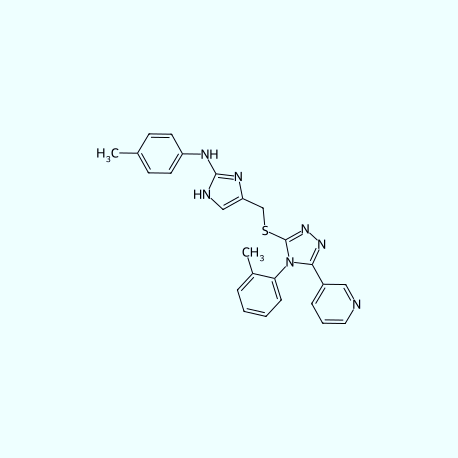 Cc1ccc(Nc2nc(CSc3nnc(-c4cccnc4)n3-c3ccccc3C)c[nH]2)cc1